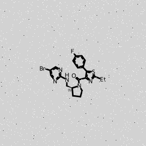 CCc1nc(C(=O)N2CCC[C@H]2CNc2ncc(Br)cn2)c(-c2ccc(F)cc2)s1